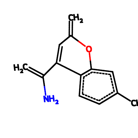 C=C1C=C(C(=C)N)c2ccc(C)cc2O1